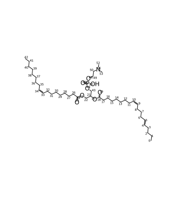 CCCC/C=C/CCC/C=C\CCCCCCCC(=O)OC(COC(=O)CCCCCCC/C=C\CCCCCCCC)COP(=O)(O)OCCN(C)C